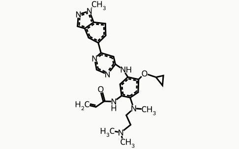 C=CC(=O)Nc1cc(Nc2cc(-c3ccc4c(cnn4C)c3)ncn2)c(OC2CC2)cc1N(C)CCN(C)C